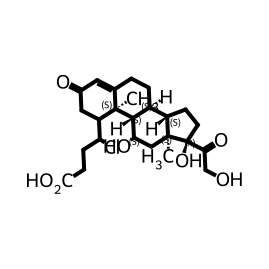 C[C@]12C[C@H](O)[C@H]3[C@@H](CCC4=CC(=O)CC(C(Cl)CCC(=O)O)[C@@]43C)[C@@H]1CC[C@]2(O)C(=O)CO